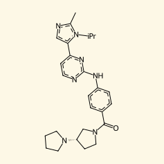 Cc1ncc(-c2ccnc(Nc3ccc(C(=O)N4CC[C@H](N5CCCC5)C4)cc3)n2)n1C(C)C